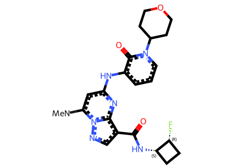 CNc1cc(Nc2cccn(C3CCOCC3)c2=O)nc2c(C(=O)N[C@H]3CC[C@H]3F)cnn12